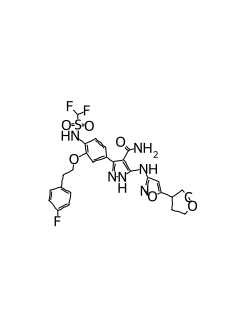 NC(=O)c1c(-c2ccc(NS(=O)(=O)C(F)F)c(OCCc3ccc(F)cc3)c2)n[nH]c1Nc1cc(C2CCOCC2)on1